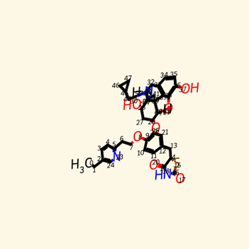 CCc1ccc(CCOc2ccc(CC3SC(=O)NC3=O)cc2)nc1.O=C1CC[C@@]2(O)[C@H]3Cc4ccc(O)c5c4[C@@]2(CCN3CC2CC2)[C@H]1O5